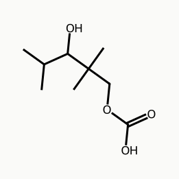 CC(C)C(O)C(C)(C)COC(=O)O